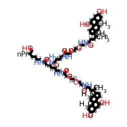 CCCC(CO)CCCCNC(=O)C[C@H](CCCCNC(=O)COCCOCCNC(=O)CCC(C)[C@H]1CCC2C3C(CC[C@@]21C)[C@@]1(C)CC[C@@H](O)CC1C[C@H]3O)NC(=O)CCCNC(=O)COCCOCCNC(=O)CCC(C)[C@H]1CCC2C3C(CC[C@@]21C)[C@@]1(C)CC[C@@H](O)CC1C[C@H]3O